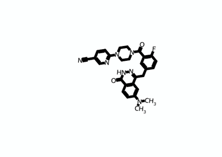 CN(C)c1ccc2c(=O)[nH]nc(Cc3ccc(F)c(C(=O)N4CCN(c5ccc(C#N)cn5)CC4)c3)c2c1